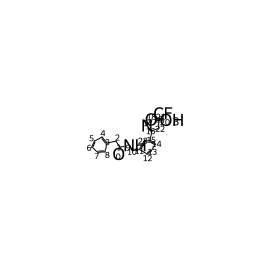 O=C(Cc1ccccc1)NCc1cccc(C2=NOC(O)(C(F)(F)F)C2)c1